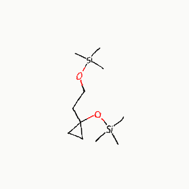 C[Si](C)(C)OCCC1(O[Si](C)(C)C)CC1